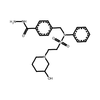 NNC(=O)c1ccc(CN(c2ccccc2)S(=O)(=O)CCN2CCCC(O)C2)cc1